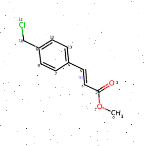 COC(=O)/C=C/c1ccc(CCl)cc1